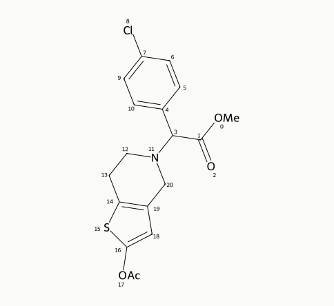 COC(=O)C(c1ccc(Cl)cc1)N1CCc2sc(OC(C)=O)cc2C1